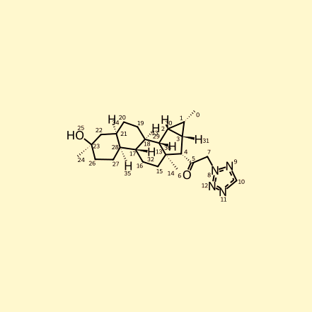 C[C@H]1[C@@H]2[C@H]1[C@H](C(=O)Cn1ncnn1)[C@@]1(C)CC[C@H]3[C@@H](CC[C@@H]4C[C@](C)(O)CC[C@@H]43)[C@H]21